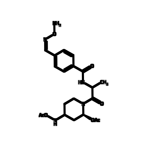 CC(=O)ONC1CCN(C(=O)C(C)NC(=O)c2ccc(/C=N\ON)cc2)[C@@H](OC(C)=O)C1